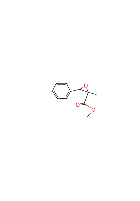 COC(=O)C1(C)OC1c1ccc(C)cc1